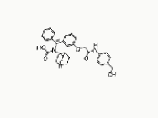 O=C(COc1cccc([C@H](c2ccccc2)N(C(=O)O)C2CN3CCC2CC3)c1)Nc1ccc(CO)cc1